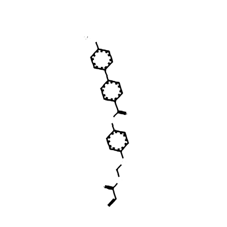 C=CC(=O)OCOc1ccc(OC(=O)c2ccc(-c3ccc(OC)cc3)cc2)cc1